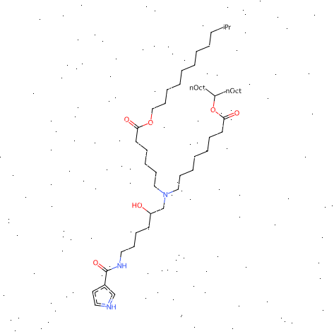 CCCCCCCCC(CCCCCCCC)OC(=O)CCCCCCCN(CCCCCC(=O)OCCCCCCCCCC(C)C)CC(O)CCCCNC(=O)c1cc[nH]c1